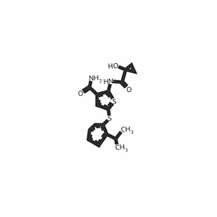 CC(C)c1ccccc1Sc1cc(C(N)=O)c(NC(=O)C2(O)CC2)s1